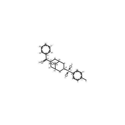 Cc1ccc(S(=O)(=O)N2CC3CC(C(=O)c4ccccc4)CC(C2)C3O)cc1